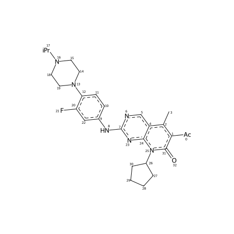 CC(=O)c1c(C)c2cnc(Nc3ccc(N4CCN(C(C)C)CC4)c(F)c3)nc2n(C2CCCC2)c1=O